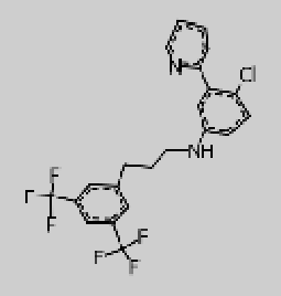 FC(F)(F)c1cc(CCCNc2ccc(Cl)c(-c3ccccn3)c2)cc(C(F)(F)F)c1